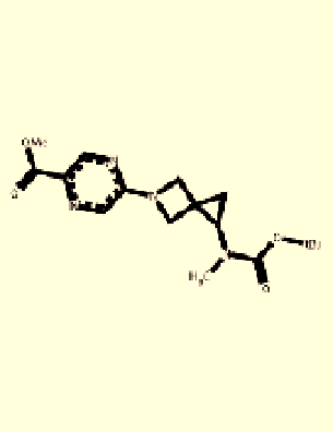 COC(=O)c1cnc(N2CC3(CC3N(C)C(=O)OC(C)(C)C)C2)cn1